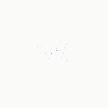 CC(C)(C)OC(=O)On1cnc(C[C@H](NC(=O)[C@H](Cc2ccccc2)CS(=O)(=O)C(C)(C)C)C(=O)N[C@@H](CC2CCCCC2)[C@@H](O)[C@@H](O)C2CC2)c1